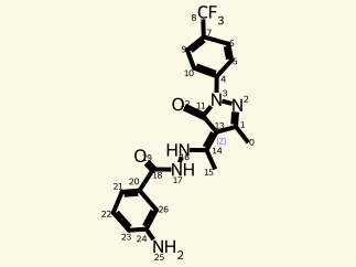 CC1=NN(c2ccc(C(F)(F)F)cc2)C(=O)/C1=C(/C)NNC(=O)c1cccc(N)c1